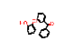 O=C(c1ccccc1)c1ccccc1.Oc1ccccc1O